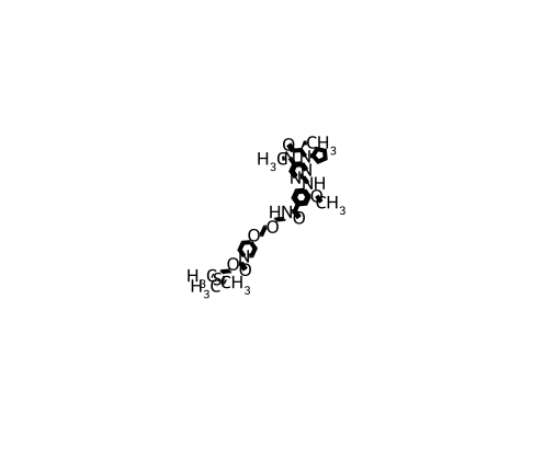 CC[C@@H]1C(=O)N(C)c2cnc(Nc3ccc(C(=O)NCCOCCOC4CCN(C(=O)OCC[Si](C)(C)C)CC4)cc3OC)nc2N1C1CCCC1